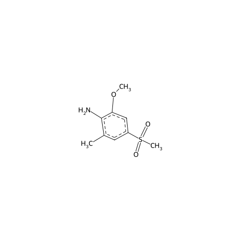 COc1cc(S(C)(=O)=O)cc(C)c1N